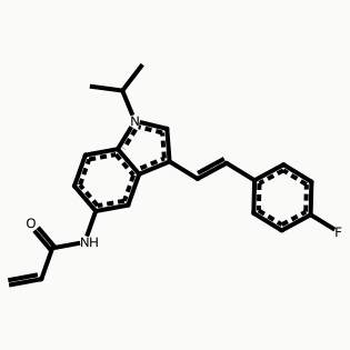 C=CC(=O)Nc1ccc2c(c1)c(C=Cc1ccc(F)cc1)cn2C(C)C